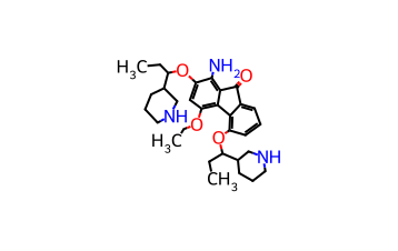 CCOc1cc(OC(CC)C2CCCNC2)c(N)c2c1-c1c(OC(CC)C3CCCNC3)cccc1C2=O